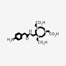 Nc1ccc(CC(=O)NCC2CN(CC(=O)O)CCN(CC(=O)O)CCN2CC(=O)O)cc1